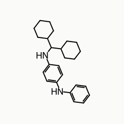 c1ccc(Nc2ccc(NC(C3CCCCC3)C3CCCCC3)cc2)cc1